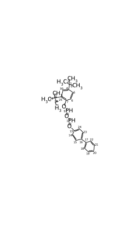 CC(C)(C)c1ccc(OPOPOc2ccc(-c3ccccc3)cc2)c(C(C)(C)C)c1